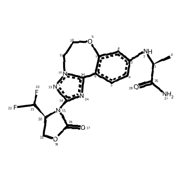 C[C@H](Nc1ccc2c(c1)OCCn1nc(N3C(=O)OC[C@H]3C(F)F)nc1-2)C(N)=O